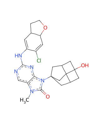 Cn1c(=O)n(C23CC4CC5(O)CC(C2)C45C3)c2nc(NC3=CC4CCOC4C=C3Cl)ncc21